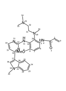 C=CC(=O)Nc1ccc(OC)c(Nc2nccc(-c3cn(C)c4ccccc34)n2)c1N(C)CCN(C)C